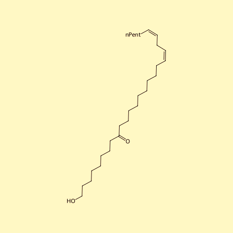 CCCCC/C=C\C/C=C\CCCCCCCCCC(=O)CCCCCCCCO